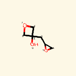 OC1(CC2CO2)COC1